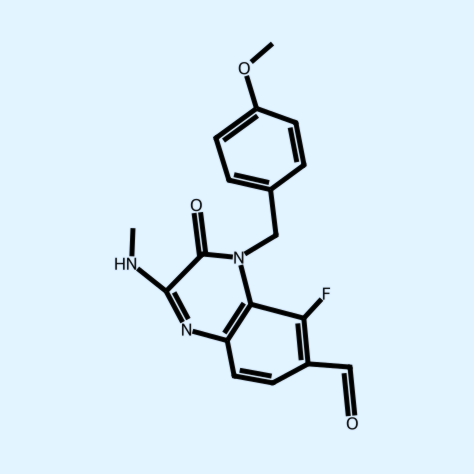 CNc1nc2ccc(C=O)c(F)c2n(Cc2ccc(OC)cc2)c1=O